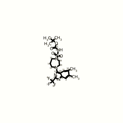 Cc1cc2nc(C(F)(F)F)nc(N3CCCN(S(=O)(=O)NC(=O)OC(C)(C)C)CC3)c2cc1C